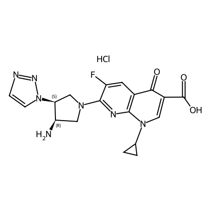 Cl.N[C@@H]1CN(c2nc3c(cc2F)c(=O)c(C(=O)O)cn3C2CC2)C[C@@H]1n1ccnn1